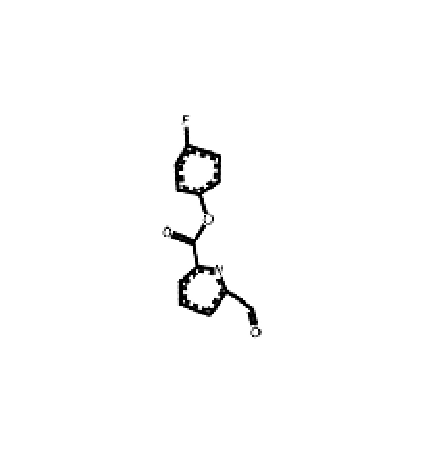 O=Cc1cccc(C(=O)Oc2ccc(F)cc2)n1